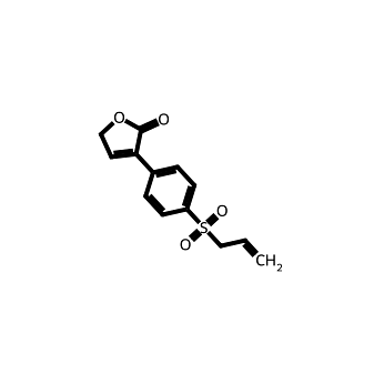 C=CCS(=O)(=O)c1ccc(C2=CCOC2=O)cc1